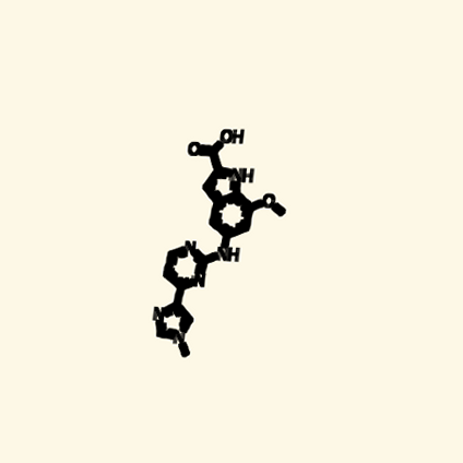 COc1cc(Nc2nccc(-c3cn(C)cn3)n2)cc2cc(C(=O)O)[nH]c12